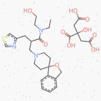 CCN(CCO)C(=O)C(Cc1cscn1)CN1CCC2(CC1)OCc1ccccc12.O=C(O)CC(O)(CC(=O)O)C(=O)O